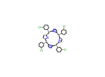 Clc1cccc(-c2c3nc(c(-c4cccc(Cl)c4)c4ccc([nH]4)c(-c4cccc(Cl)c4)c4nc(c(-c5cccc(Cl)c5)c5ccc2[nH]5)C=C4)C=C3)c1